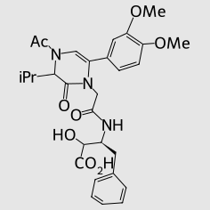 COc1ccc(C2=CN(C(C)=O)C(C(C)C)C(=O)N2CC(=O)N[C@@H](Cc2ccccc2)C(O)C(=O)O)cc1OC